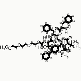 COCCOCCOCCOC(=O)N[C@H](C(=O)N[C@@H](Cc1ccccc1)[C@H](CN(Cc1ccc(-c2ccccn2)cc1)NC(=O)[C@@H](NC(=O)OC)C(C)(C)C)OC(=O)[C@H](Cc1ccccc1)NCl)C(C)(C)C